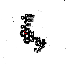 COC(=O)C(O)CNC(=O)c1ccc(C(NC(=O)Nc2ccc(OC(F)(F)F)c(S(C)(=O)=O)c2)c2ccccc2C2CC=CCC2)cc1